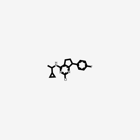 CC(Nc1nc(Cl)nc2c1CCC2c1ccc(F)cc1)C1CC1